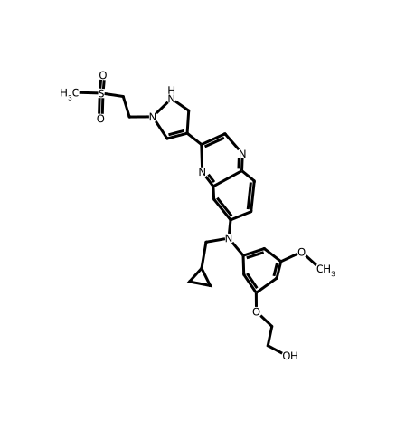 COc1cc(OCCO)cc(N(CC2CC2)c2ccc3ncc(C4=CN(CCS(C)(=O)=O)NC4)nc3c2)c1